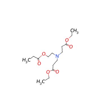 CCOC(=O)CCN(CCOC(=O)CC)CCC(=O)OCC